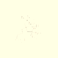 O=C(O)CCCC(CC([N+](=O)[O-])([N+](=O)[O-])[N+](=O)[O-])(CC([N+](=O)[O-])([N+](=O)[O-])[N+](=O)[O-])C(=O)O